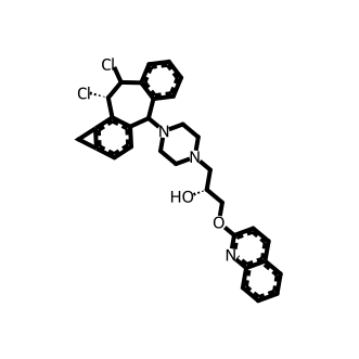 O[C@@H](COc1ccc2ccccc2n1)CN1CCN(C2c3ccccc3C(Cl)[C@@H](Cl)c3c2ccc2c3C2)CC1